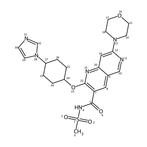 CS(=O)(=O)NC(=O)c1cc2cnc(N3CCOCC3)cc2nc1OC1CCC(n2ccnc2)CC1